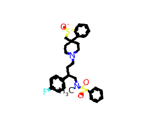 CN(CC(CCN1CCC2(CC1)C[S+]([O-])c1ccccc12)c1ccc(F)cc1)S(=O)(=O)c1ccccc1